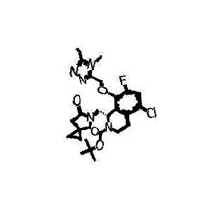 Cc1nnc(COc2c(F)cc(Cl)c3c2[C@@H](CN2CC4(CC4)CC2=O)N(C(=O)OC(C)(C)C)CC3)n1C